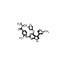 Cc1cc(C(=O)N(C)C)ccc1Nc1nc(OC2CCOC2)c2c(-c3cnn(C)c3)c[nH]c2n1